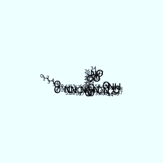 CCCCCCOC(=O)CCN1CCN(C2CCN(C(=O)[C@@H](Cc3cc(C)c4c(c3)oc(=O)n4C)OC(=O)N3CCC(N4CCc5ccccc5NC4=O)CC3)CC2)CC1